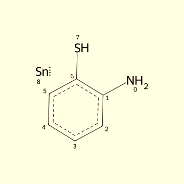 Nc1ccccc1S.[Sn]